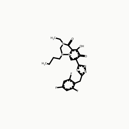 CCCCN1CN(CC)C(=O)c2c(O)c(=O)c(-c3nnc(Cc4c(F)cc(F)cc4F)s3)cn21